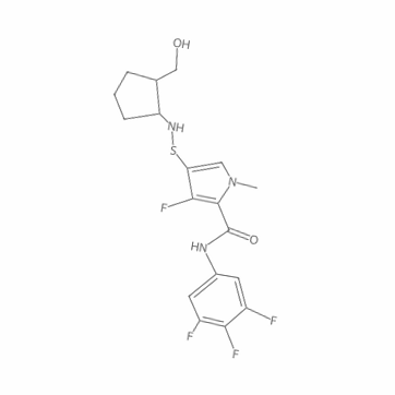 Cn1cc(SNC2CCCC2CO)c(F)c1C(=O)Nc1cc(F)c(F)c(F)c1